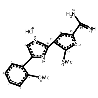 COc1ccccc1-c1csc(-c2cc(C(=N)N)sc2SC)n1.Cl